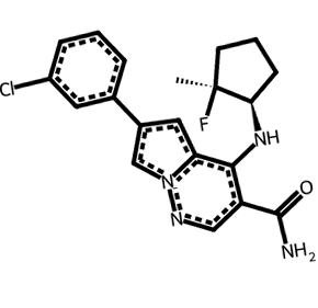 C[C@]1(F)CCC[C@H]1Nc1c(C(N)=O)cnn2cc(-c3cccc(Cl)c3)cc12